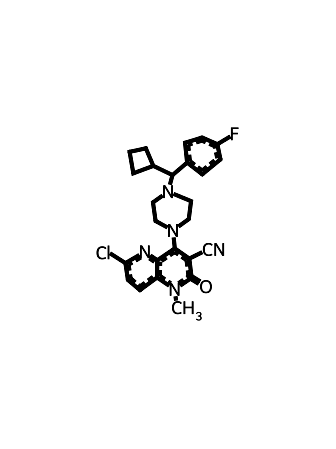 Cn1c(=O)c(C#N)c(N2CCN(C(c3ccc(F)cc3)C3CCC3)CC2)c2nc(Cl)ccc21